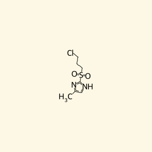 Cc1c[nH]c(S(=O)(=O)CCCCl)n1